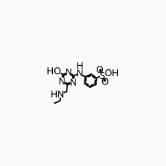 CCNCc1nc(O)nc(Nc2cccc(S(=O)(=O)O)c2)n1